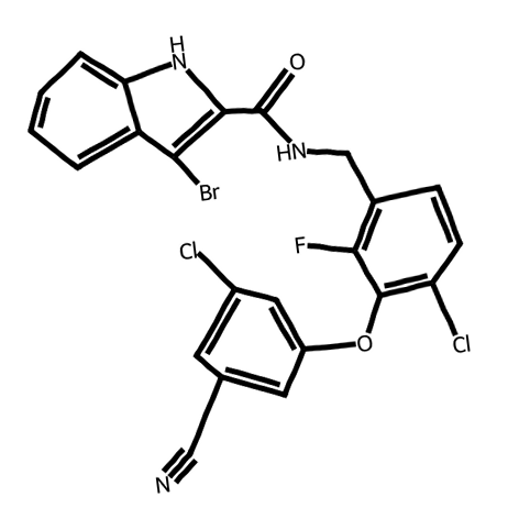 N#Cc1cc(Cl)cc(Oc2c(Cl)ccc(CNC(=O)c3[nH]c4ccccc4c3Br)c2F)c1